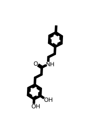 Cc1ccc(CCNC(=O)CCc2ccc(O)c(O)c2)cc1